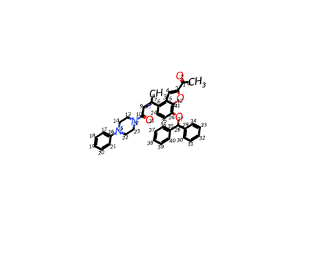 CC(=O)c1cc2c(/C(C)=C\C(=O)N3CCN(c4ccccc4)CC3)ccc(OC(c3ccccc3)c3ccccc3)c2o1